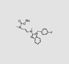 CN(CC=CN(C)c1nc2ccccc2n1Cc1ccc(F)cc1)C(=O)OC(C)(C)C